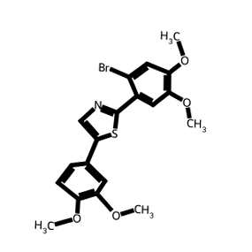 COc1ccc(-c2cnc(-c3cc(OC)c(OC)cc3Br)s2)cc1OC